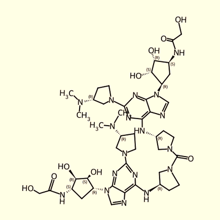 CN(C)[C@@H]1CCN(c2nc(N[C@@H]3CCN(C(=O)N4CC[C@@H](Nc5nc(N6CC[C@@H](N(C)C)C6)nc6c5ncn6[C@@H]5C[C@H](NC(=O)CO)[C@@H](O)[C@H]5O)C4)C3)c3ncn([C@@H]4C[C@H](NC(=O)CO)[C@@H](O)[C@H]4O)c3n2)C1